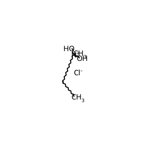 CCCCCCCC/C=C\CCCCCCCCCCCC[N+](C)(CCO)CCO.[Cl-]